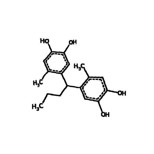 CCCC(c1cc(O)c(O)cc1C)c1cc(O)c(O)cc1C